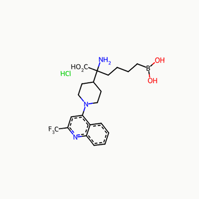 Cl.NC(CCCCB(O)O)(C(=O)O)C1CCN(c2cc(C(F)(F)F)nc3ccccc23)CC1